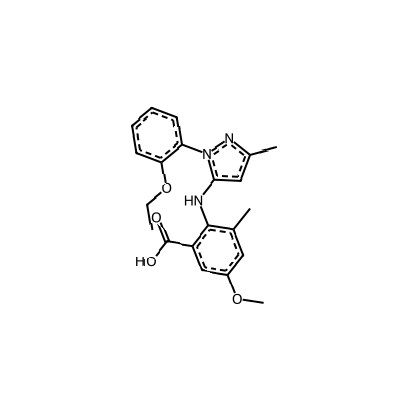 CCOc1ccccc1-n1nc(C)cc1Nc1c(C)cc(OC)cc1C(=O)O